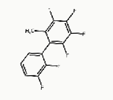 Cc1c(F)c(F)c(F)c(F)c1-c1cccc(F)c1F